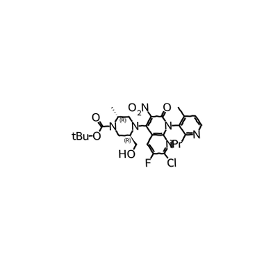 Cc1ccnc(C(C)C)c1-n1c(=O)c([N+](=O)[O-])c(N2C[C@@H](C)N(C(=O)OC(C)(C)C)C[C@@H]2CO)c2cc(F)c(Cl)nc21